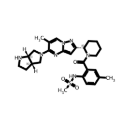 Cc1ccc(NS(C)(=O)=O)c(C(=O)N2CCCC[C@H]2c2cc3nc(N4C[C@@H]5CCN[C@@H]5C4)c(C)cn3n2)c1